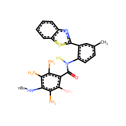 Bc1c(P)c(NCCCC)c(P)c(P)c1C(=O)N(S)c1ccc(C)cc1-c1nc2ccccc2s1